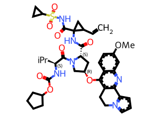 C=CC1CC1(NC(=O)[C@@H]1C[C@@H](Oc2c3c(nc4cc(OC)ccc24)-c2cccn2CC3)CN1C(=O)[C@@H](NC(=O)OC1CCCC1)C(C)C)C(=O)NS(=O)(=O)C1CC1